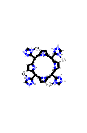 Cn1cnnc1-c1c2nc(c(-c3nncn3C)c3ccc([nH]3)c(-c3nncn3C)c3nc(c(-c4nncn4C)c4ccc1[nH]4)C=C3)C=C2